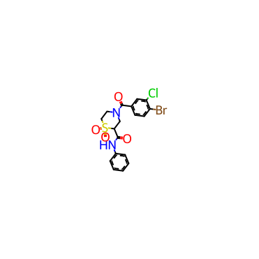 O=C(Nc1ccccc1)C1CN(C(=O)c2ccc(Br)c(Cl)c2)CCS1(=O)=O